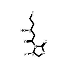 CC(C)[C@@H]1COC(=O)N1C(=O)C[C@@H](O)CCF